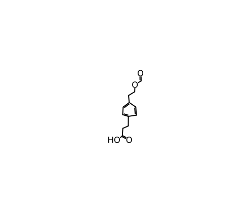 O=COCCc1ccc(CCC(=O)O)cc1